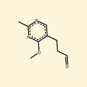 COc1nc(C)ncc1CCC=O